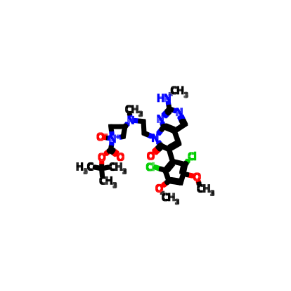 CNc1ncc2cc(-c3c(Cl)c(OC)cc(OC)c3Cl)c(=O)n(CCN(C)C3C[N+]([O-])(C(=O)OC(C)(C)C)C3)c2n1